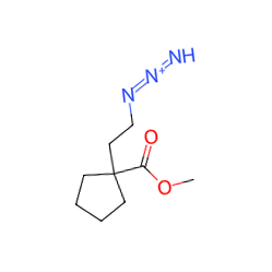 COC(=O)C1(CCN=[N+]=N)CCCC1